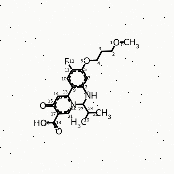 COCCCOc1cc2c(cc1F)-c1cc(=O)c(C(=O)O)cn1C(C(C)C)N2